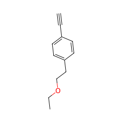 C#Cc1ccc(CCOCC)cc1